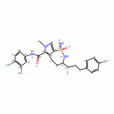 C[C@@H](CCc1ccc(F)cc1)C1CCc2c(cn(C)c2C(=O)Nc2ccc(F)c(F)c2)S(=N)(=O)N1